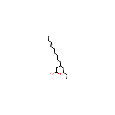 C=C/C=C/CCCCCC(CCCC)CC(=O)O